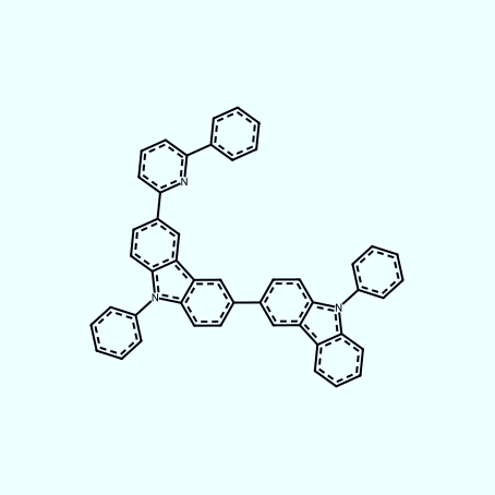 c1ccc(-c2cccc(-c3ccc4c(c3)c3cc(-c5ccc6c(c5)c5ccccc5n6-c5ccccc5)ccc3n4-c3ccccc3)n2)cc1